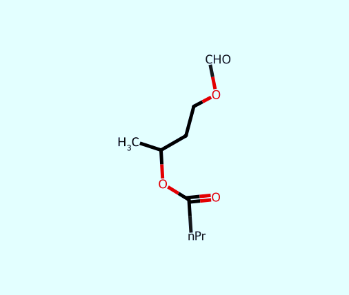 CCCC(=O)OC(C)CCOC=O